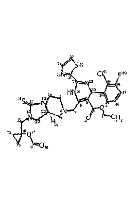 CCOC(=O)C1=C(CN2CCN3C(=S)N(CC4(OC=O)CC4)C[C@@H]3C2)NC(c2nccs2)=N[C@H]1c1cccc(F)c1Cl